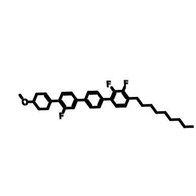 CCCCCCCCCc1ccc(-c2ccc(-c3ccc(C4=CCC(OC)CC4)c(F)c3)cc2)c(F)c1F